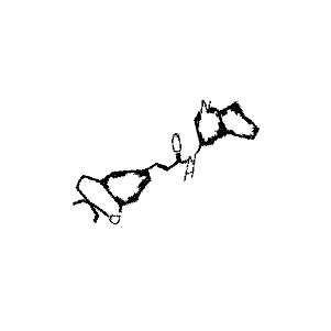 CC1(C)CCc2cc(C=CC(=O)Nc3cnc4ccccc4c3)ccc2O1